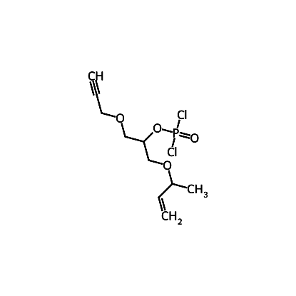 C#CCOCC(COC(C)C=C)OP(=O)(Cl)Cl